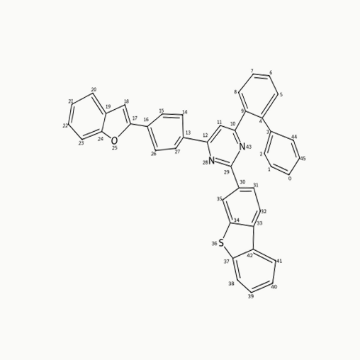 c1ccc(-c2ccccc2-c2cc(-c3ccc(-c4cc5ccccc5o4)cc3)nc(-c3ccc4c(c3)sc3ccccc34)n2)cc1